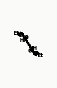 CCN1CCN(CCC(=O)NCCCCCCNC(=O)CCN2CCN(CC)CC2)CC1